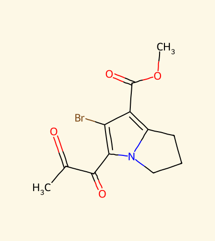 COC(=O)c1c(Br)c(C(=O)C(C)=O)n2c1CCC2